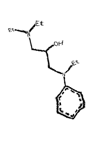 CCN(CC)CC(O)CN(CC)c1ccccc1